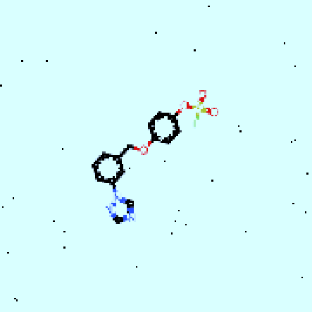 O=S(=O)(F)Oc1ccc(OCc2cccc(-n3cncn3)c2)cc1